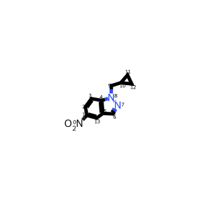 O=[N+]([O-])c1ccc2c(cnn2CC2CC2)c1